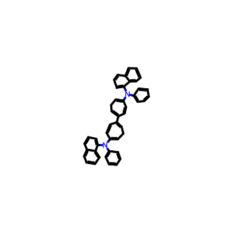 C1=CC(N(c2ccccc2)c2cccc3ccccc23)=CCC=C1C1=CCC=C(N(c2ccccc2)c2cccc3ccccc23)C=C1